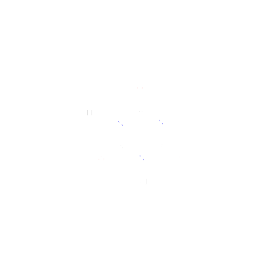 Cn1c(=O)n(C)c(=O)n(I)c1=O